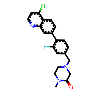 CN1CCN(Cc2ccc(-c3ccc4c(Cl)ccnc4c3)c(F)c2)CC1=O